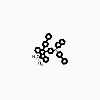 CC1(C)c2ccccc2-c2c(-c3ccc(N(c4ccc(-c5ccccc5)cc4)c4ccc5ccccc5c4)cc3)c(-c3ccc(-c4ccccc4)cc3)c3ccccc3c21